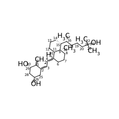 C=C1/C(=C\C=C2/CCC[C@@]3(C)[C@@H]2CCC[C@@H]3[C@H](C)CCCC(C)(C)O)C[C@@H](O)C[C@@H]1O